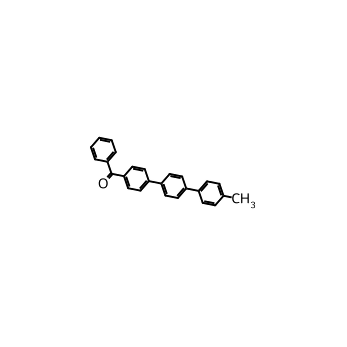 Cc1ccc(-c2ccc(-c3ccc(C(=O)c4ccccc4)cc3)cc2)cc1